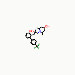 CC1CC(O)CC(C)N1CC(C)(O)Cc1ccccc1-c1ccc(C(F)(F)F)cc1